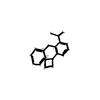 CC(C)c1cc[c]c(C2CCC2)c1Cc1ccccc1